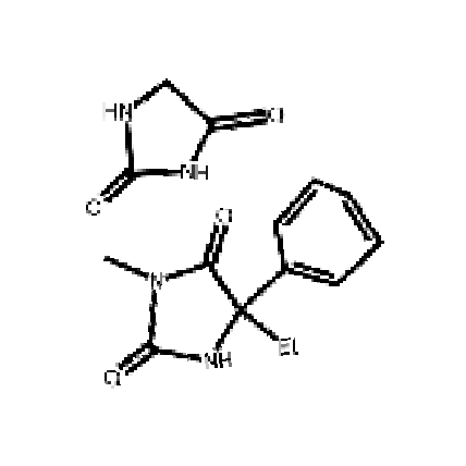 CCC1(c2ccccc2)NC(=O)N(C)C1=O.O=C1CNC(=O)N1